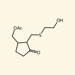 CC(=O)OCC1CCC(=O)C1CSCCO